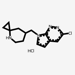 Cl.Clc1cc2ccn(CC3CCNC4(CC4)C3)c2nn1